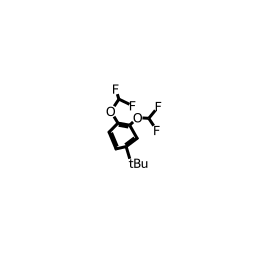 CC(C)(C)c1ccc(OC(F)F)c(OC(F)F)c1